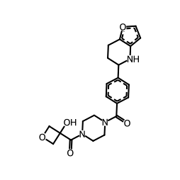 O=C(c1ccc(C2CCc3occc3N2)cc1)N1CCN(C(=O)C2(O)COC2)CC1